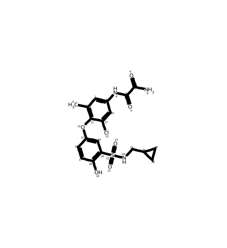 Cc1cc(NC(=O)C(N)=O)cc(Cl)c1Oc1ccc(O)c(S(=O)(=O)NCC2CC2)c1